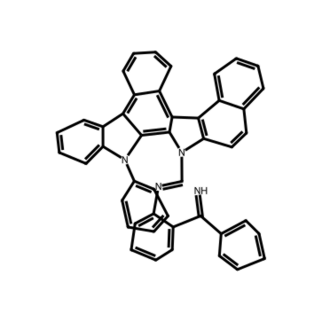 N=C(c1ccccc1)c1ccccc1/N=C/n1c2ccc3ccccc3c2c2c3ccccc3c3c4ccccc4n(-c4ccccc4)c3c21